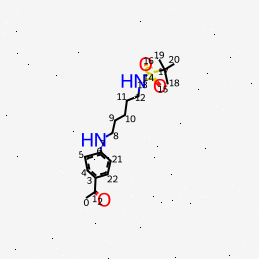 CC(=O)c1ccc(NCCCCCNS(=O)(=O)C(C)(C)C)cc1